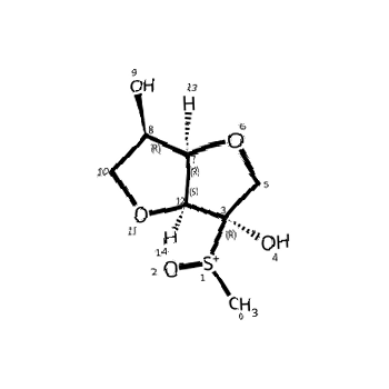 C[S+]([O-])[C@]1(O)CO[C@@H]2[C@H](O)CO[C@@H]21